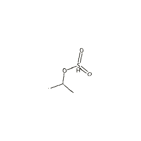 [CH2]C(C)O[SH](=O)=O